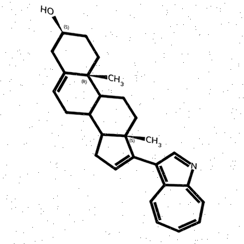 C[C@]12CC[C@H](O)CC1=CCC1C2CC[C@]2(C)C(c3cnc4cccccc3-4)=CCC12